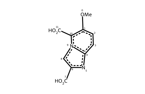 COc1ccc2nc(C(=O)O)cn2c1C(=O)O